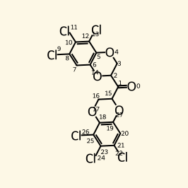 O=C(C1COc2c(cc(Cl)c(Cl)c2Cl)O1)C1COc2c(cc(Cl)c(Cl)c2Cl)O1